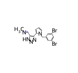 C/N=C/c1[nH]nnc1-c1cccn1Cc1cc(Br)cc(Br)c1